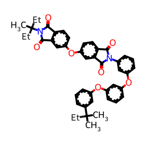 CCC(C)(C)c1cccc(Oc2cccc(Oc3cccc(N4C(=O)c5ccc(Oc6ccc7c(c6)C(=O)N(C(C)(CC)CC)C7=O)cc5C4=O)c3)c2)c1